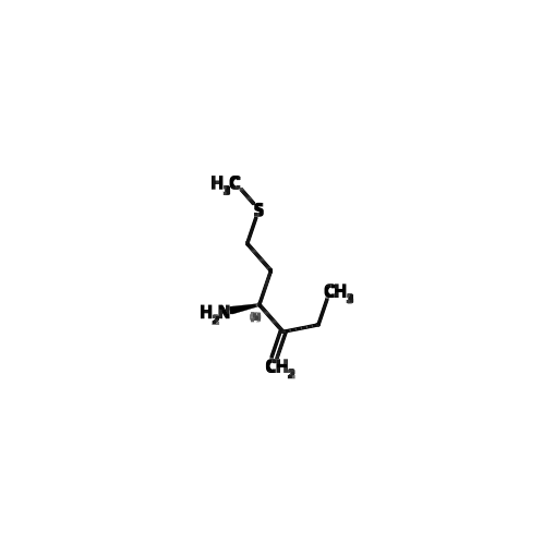 C=C(CC)[C@@H](N)CCSC